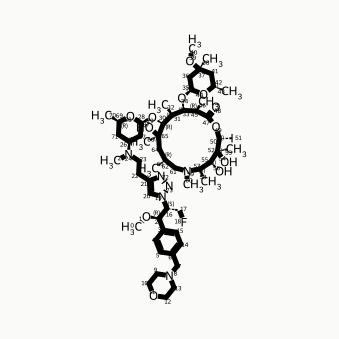 CO[C@H](c1ccc(CN2CCOCC2)cc1)[C@@H](CF)n1cc(CCN(C)[C@@H]2C[C@H](O[C@@H]3[C@@H](C)[C@H](O[C@H]4C[C@@](C)(OC)C[C@H](C)O4)[C@@H](C)C(=O)O[C@H](I)[C@@](C)(O)[C@H](O)[C@@H](C)N(C)C[C@H](C)C[C@@]3(C)O)O[C@H](C)C2)nn1